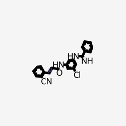 N#Cc1ccccc1/C=C/C(=O)Nc1cc(Cl)cc(NC(=N)c2ccccc2)c1